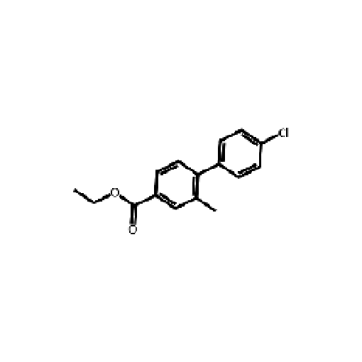 CCOC(=O)c1ccc(-c2ccc(Cl)cc2)c(C)c1